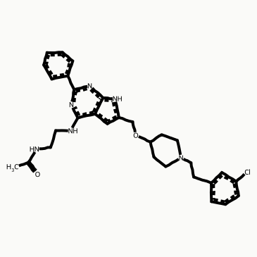 CC(=O)NCCNc1nc(-c2ccccc2)nc2[nH]c(COC3CCN(CCc4cccc(Cl)c4)CC3)cc12